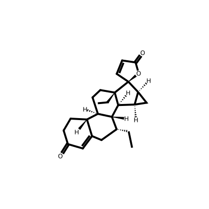 CC[C@@H]1CC2=CC(=O)CC[C@@H]2[C@H]2CC[C@@]3(CC)[C@@H]([C@@H]4C[C@@H]4[C@@]34C=CC(=O)O4)[C@H]12